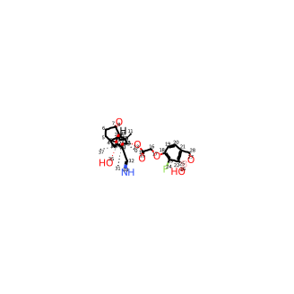 C[C@@H]1CC[C@@]23CCC(=O)[C@H]2[C@]1(C)[C@H](OC(=O)COc1ccc2c(c1F)B(O)OC2)C[C@@](C)(C=N)[C@@H](O)[C@@H]3C